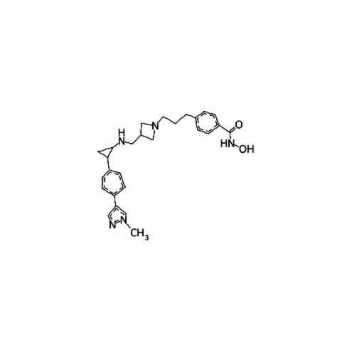 Cn1cc(-c2ccc(C3CC3NCC3CN(CCCc4ccc(C(=O)NO)cc4)C3)cc2)cn1